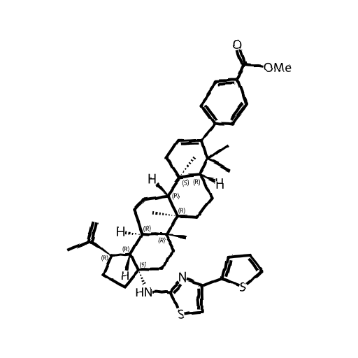 C=C(C)[C@@H]1CC[C@]2(Nc3nc(-c4cccs4)cs3)CC[C@]3(C)[C@H](CC[C@@H]4[C@@]5(C)CC=C(c6ccc(C(=O)OC)cc6)C(C)(C)[C@@H]5CC[C@]43C)[C@@H]12